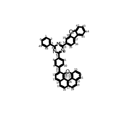 c1ccc(-c2nc(-c3ccc(-c4ccc5ccc6ccc7cccc8c7c6c5c4O8)cc3)nc(-c3ccc4c(c3)oc3ccccc34)n2)cc1